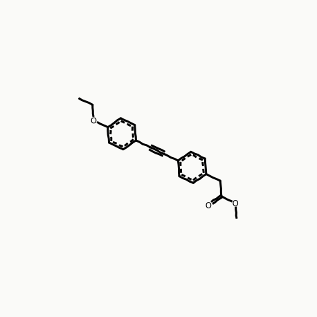 CCOc1ccc(C#Cc2ccc(CC(=O)OC)cc2)cc1